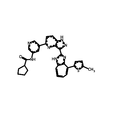 Cc1ccc(C2=CC=C=Cc3[nH]c(-c4n[nH]c5ccc(-c6cncc(NC(=O)C7CCCC7)c6)nc45)nc32)s1